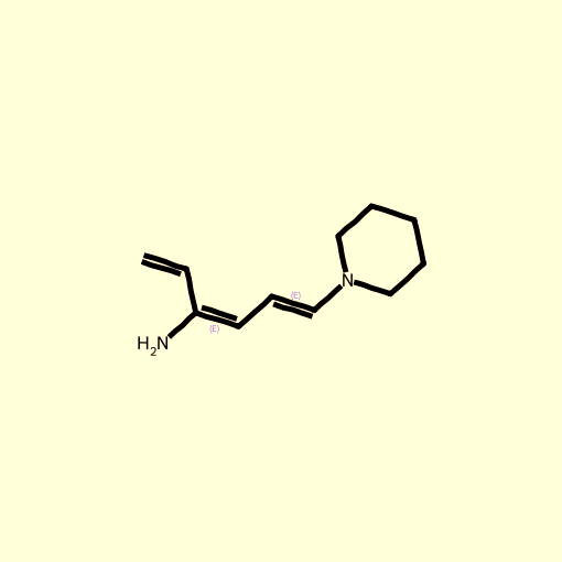 C=C/C(N)=C\C=C\N1CCCCC1